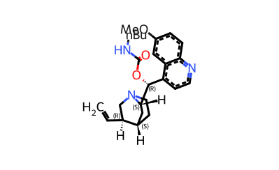 C=C[C@H]1CN2CC[C@H]1C[C@H]2[C@H](OC(=O)NCCCC)c1ccnc2ccc(OC)cc12